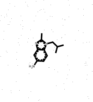 Cc1nc2cc(N)ccc2n1CC(C)C